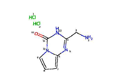 Cl.Cl.NCc1nc2cccn2c(=O)[nH]1